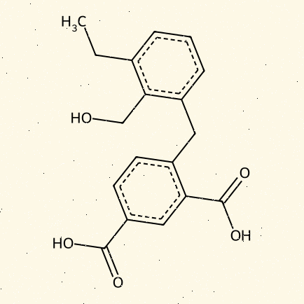 CCc1cccc(Cc2ccc(C(=O)O)cc2C(=O)O)c1CO